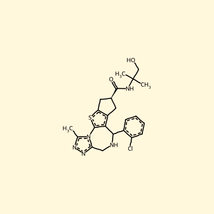 Cc1nnc2n1-c1sc3c(c1C(c1ccccc1Cl)NC2)C[C@H](C(=O)NC(C)(C)CO)C3